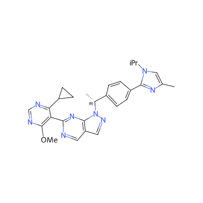 COc1ncnc(C2CC2)c1-c1ncc2cnn([C@H](C)c3ccc(-c4nc(C)cn4C(C)C)cc3)c2n1